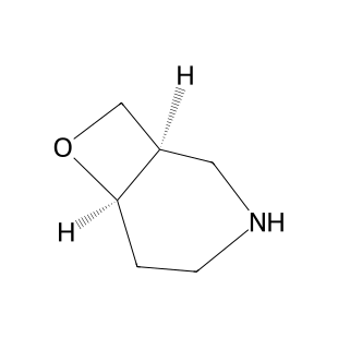 C1C[C@H]2OC[C@H]2CN1